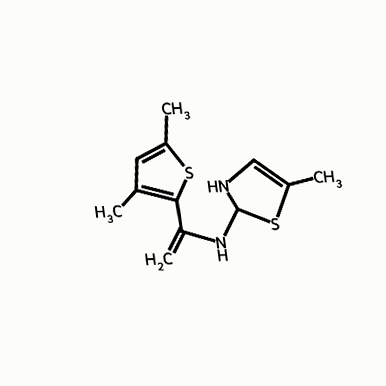 C=C(NC1NC=C(C)S1)c1sc(C)cc1C